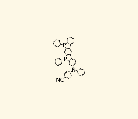 N#Cc1ccc(N(c2ccccc2)c2ccc3c4cc5c6ccccc6p(-c6ccccc6)c5cc4p(-c4ccccc4)c3c2)cc1